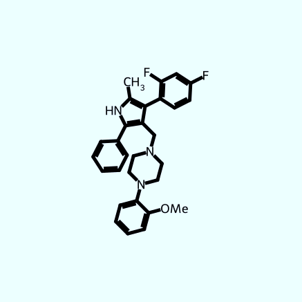 COc1ccccc1N1CCN(Cc2c(-c3ccccc3)[nH]c(C)c2-c2ccc(F)cc2F)CC1